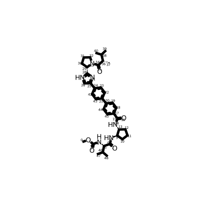 COC(=O)N[C@H](C(=O)N[C@@H]1CCC[C@H]1NC(=O)c1ccc(-c2ccc(-c3c[nH]c([C@@H]4CCCN4C(=O)[C@@H](C)C(C)C)n3)cc2)cc1)C(C)C